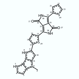 Cn1c2cc[nH]c2c2[nH]c(-c3ccc(C4=C5C(=O)NC(c6cccs6)=C5C(=O)N4)s3)cc21